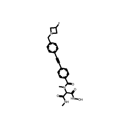 CNC(=O)C(C(=O)NO)N(C)C(=O)c1ccc(C#Cc2ccc(CN3CC(F)C3)cc2)cc1